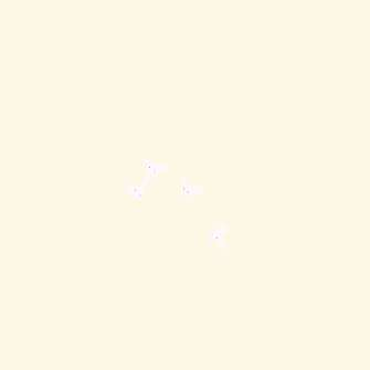 c1cnc2c(c1)ccc1ccc(-n3ncc4ccccc43)nc12